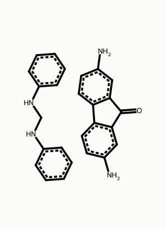 Nc1ccc2c(c1)C(=O)c1cc(N)ccc1-2.c1ccc(NCNc2ccccc2)cc1